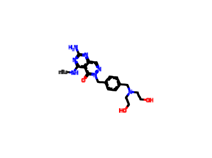 CCCCNc1nc(N)nc2cnn(Cc3ccc(CN(CCO)CCO)cc3)c(=O)c12